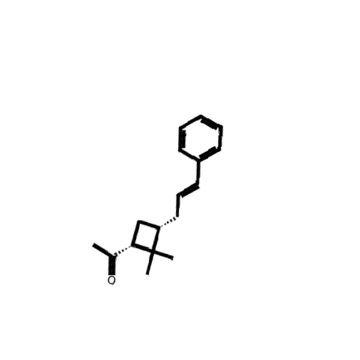 CC(=O)[C@@H]1C[C@H](CC=Cc2ccccc2)C1(C)C